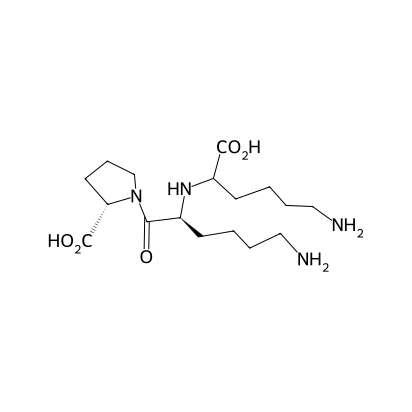 NCCCCC(N[C@@H](CCCCN)C(=O)N1CCC[C@H]1C(=O)O)C(=O)O